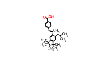 C/C(=C\c1ccc(C(=O)O)cc1)c1cc2c(cc1CC(C)C)C(C)(C)C(C)C2(C)C